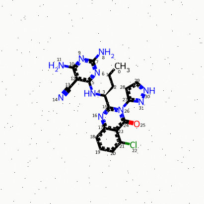 CCC[C@H](Nc1nc(N)nc(N)c1C#N)c1nc2cccc(Cl)c2c(=O)n1-c1cc[nH]n1